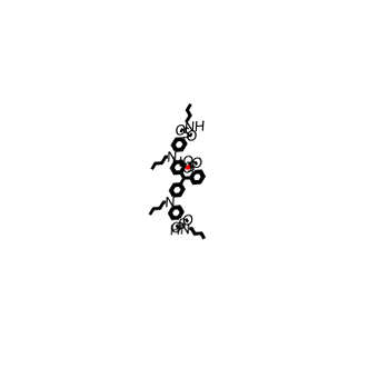 CCCCNS(=O)(=O)c1ccc(N(CCCC)c2ccc(C(c3ccc(N(CCCC)c4ccc(S(=O)(=O)NCCCC)cc4)cc3)c3ccccc3S(=O)(=O)O)cc2)cc1